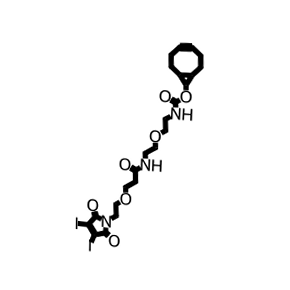 O=C(CCOCCN1C(=O)C(I)=C(I)C1=O)NCCOCCNC(=O)OC1C2CCC#CCCC21